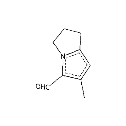 Cc1cc2n(c1C=O)CCC2